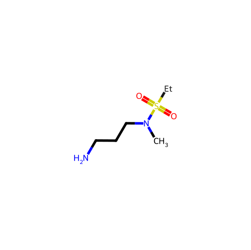 CCS(=O)(=O)N(C)CCCN